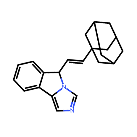 C(=C\C12CC3CC(CC(C3)C1)C2)/C1c2ccccc2-c2cncn21